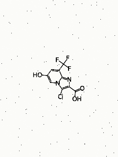 O=C(O)c1nc2c(C(F)(F)F)cc(O)cn2c1Cl